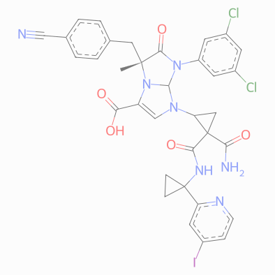 C[C@@]1(Cc2ccc(C#N)cc2)C(=O)N(c2cc(Cl)cc(Cl)c2)C2N(C3CC3(C(N)=O)C(=O)NC3(c4cc(I)ccn4)CC3)C=C(C(=O)O)N21